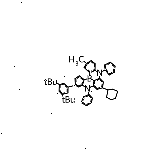 Cc1ccc2c(c1)B1c3ccc(-c4cc(C(C)(C)C)cc(C(C)(C)C)c4)cc3N(c3ccccc3)c3cc(C4CCCCC4)cc(c31)N2c1ccccc1